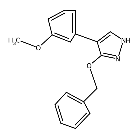 COc1cccc(-c2c[nH]nc2OCc2ccccc2)c1